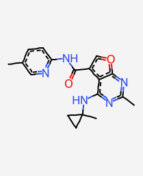 Cc1ccc(NC(=O)c2coc3nc(C)nc(NC4(C)CC4)c23)nc1